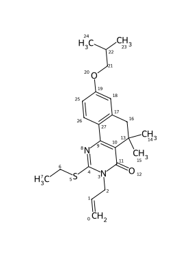 C=CCn1c(SCC)nc2c(c1=O)C(C)(C)Cc1cc(OCC(C)C)ccc1-2